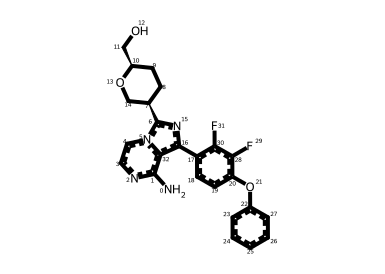 Nc1nccn2c([C@@H]3CC[C@H](CO)OC3)nc(-c3ccc(Oc4ccccc4)c(F)c3F)c12